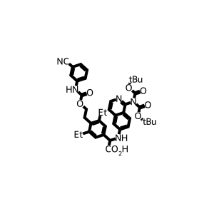 CCc1cc(C(Nc2ccc3c(N(C(=O)OC(C)(C)C)C(=O)OC(C)(C)C)nccc3c2)C(=O)O)cc(CC)c1CCOC(=O)Nc1cccc(C#N)c1